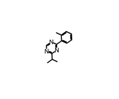 Cc1ccccc1-c1ncnc(C(C)C)n1